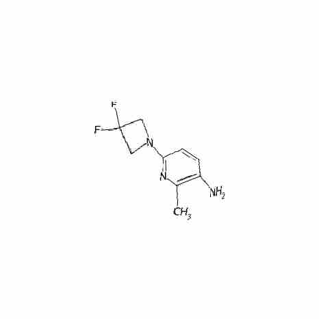 Cc1nc(N2CC(F)(F)C2)ccc1N